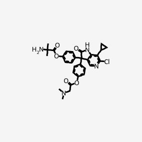 CN(C)CC(=O)Oc1ccc(C2(c3ccc(OC(=O)C(C)(C)N)cc3)C(=O)Nc3c2cnc(Cl)c3C2CC2)cc1